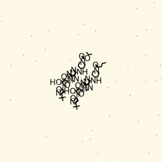 CC(C)OC(=O)N1CCC(Nc2ncnc3c2ncn3[C@@H]2O[C@H](c3cc(C(C)(C)C)no3)[C@@H](O)[C@H]2O)CC1.CCCC(=O)N1CCC(Nc2ncnc3c2ncn3[C@@H]2O[C@H](c3cc(C(C)(C)C)no3)[C@@H](O)[C@H]2O)CC1